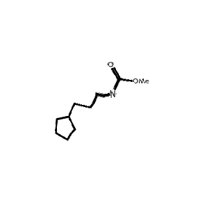 COC(=O)[N]CCCC1CCCC1